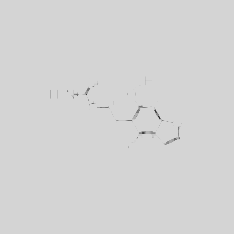 COc1cc2occc2c(C)c1CCOC(N)=O